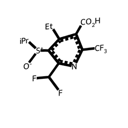 CCc1c(C(=O)O)c(C(F)(F)F)nc(C(F)F)c1[S+]([O-])C(C)C